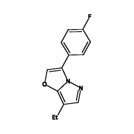 CCc1cnn2c(-c3ccc(F)cc3)coc12